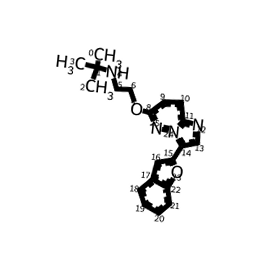 CC(C)(C)NCCOc1ccc2ncc(-c3cc4ccccc4o3)n2n1